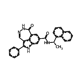 C[C@@H](NC(=O)c1cc2c3c(c(-c4ccccc4)[nH]c3c1)C=NNC2=O)c1cccc2ccccc12